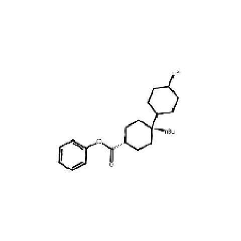 CCCC[C@]1(C2CCC(CCC)CC2)CC[C@@H](C(=O)Oc2ccccc2)CC1